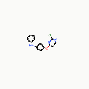 Clc1nccc(Oc2ccc(Nc3ccccc3)cc2)n1